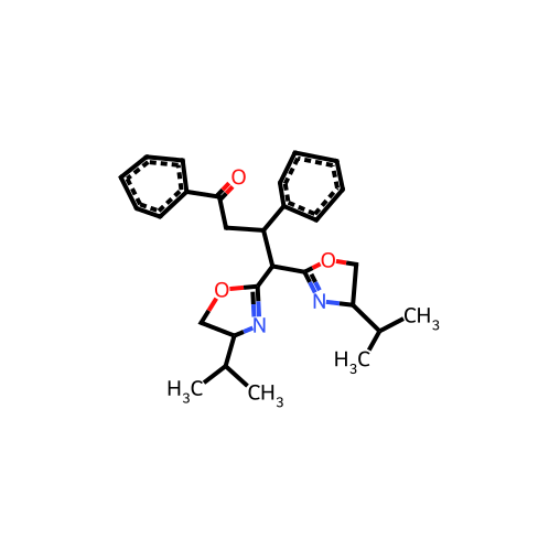 CC(C)C1COC(C(C2=NC(C(C)C)CO2)C(CC(=O)c2ccccc2)c2ccccc2)=N1